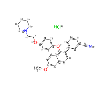 COc1ccc2c(Oc3ccc(OCCN4CCCCC4)cc3)c(-c3cccc(C#N)c3)ccc2c1.Cl